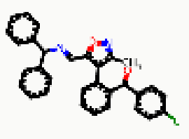 Cc1noc(/C=N/C(c2ccccc2)c2ccccc2)c1-c1ccccc1C(=O)c1ccc(Cl)cc1